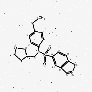 CCc1ccc(N(CC2CCOC2)S(=O)(=O)c2ccc3[nH]ncc3c2)cc1